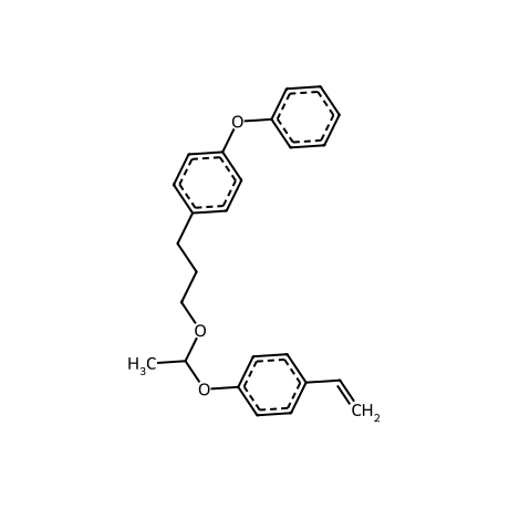 C=Cc1ccc(OC(C)OCCCc2ccc(Oc3ccccc3)cc2)cc1